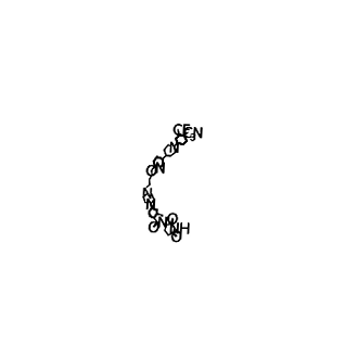 N#Cc1ccc(N2CCC(c3ccc(OCCCCN4CCN(c5ccc6c(c5)CN(C5CCC(=O)NC5=O)C6=O)CC4)nc3)CC2)cc1C(F)(F)F